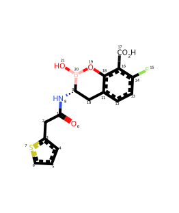 O=C(Cc1cccs1)N[C@H]1Cc2ccc(F)c(C(=O)O)c2OB1O